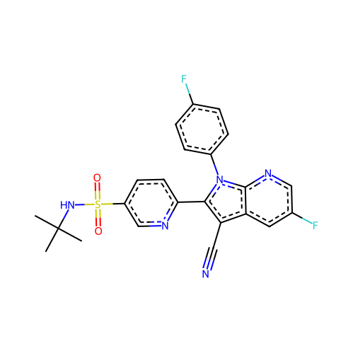 CC(C)(C)NS(=O)(=O)c1ccc(-c2c(C#N)c3cc(F)cnc3n2-c2ccc(F)cc2)nc1